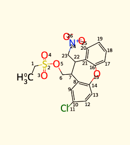 CCS(=O)(=O)OCC1c2cc(Cl)ccc2Oc2ccccc2C1C[N+](=O)[O-]